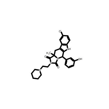 CC12Cc3c([nH]c4ccc(Cl)cc34)C(c3cccc(O)c3)N1C(=O)N(CCN1CCCCC1)C2=O